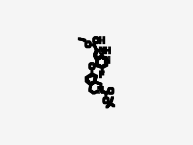 CCOC(O)c1cc2c(Oc3ccc4c(c3)CN(C(=O)OC(C)(C)C)CC4)c(F)cnc2[nH]1